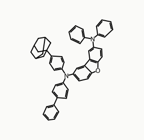 c1ccc(-c2ccc(N(c3ccc(C45CC6CC(CC(C6)C4)C5)cc3)c3ccc4oc5ccc(N(c6ccccc6)c6ccccc6)cc5c4c3)cc2)cc1